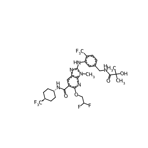 Cn1c(Nc2cc(CNC(=O)C(C)(C)O)ccc2C(F)(F)F)nc2cc(C(=O)N[C@H]3CC[C@H](C(F)(F)F)CC3)c(OCC(F)F)nc21